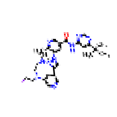 Cc1ncc(C(=O)Nc2cc(C(C)(C)C)ncn2)cc1-n1cc2n1N(C)CCN(CCI)c1cncc-2c1